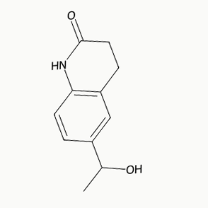 CC(O)c1ccc2c(c1)CCC(=O)N2